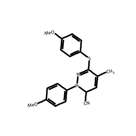 COc1ccc(SC2=NN(c3ccc(OC)cc3)C(C#N)C=C2C)cc1